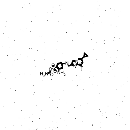 NC(=O)OS(=O)(=O)c1ccc(NCc2cn3cc(C4CC4)cc(F)c3n2)cc1N